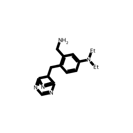 CCN(CC)c1ccc(CC2C3=NC=NC2=N3)c(CN)c1